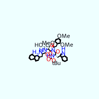 COc1cc(OC)c(CC(=O)N(C(=O)[C@H](Cc2c[nH]c3ccccc23)NC(=O)OC(C)(C)C)C(=O)[C@H](CC(=O)O)NC(=O)[C@@H](N)Cc2ccc3ccccc3c2)c(OC)c1